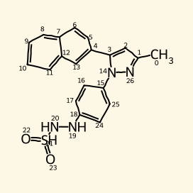 Cc1cc(-c2ccc3ccccc3c2)n(-c2ccc(NN[SH](=O)=O)cc2)n1